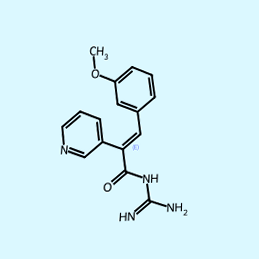 COc1cccc(/C=C(/C(=O)NC(=N)N)c2cccnc2)c1